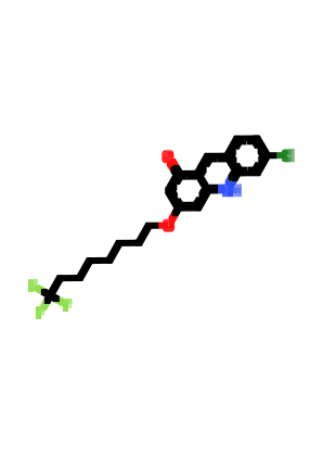 O=c1cc(OCCCCCCCC(F)(F)F)cc2[nH]c3cc(Cl)ccc3cc1-2